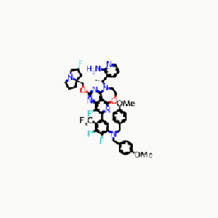 COc1ccc(CN(Cc2ccc(OC)cc2)c2cc(-c3nc4c5c(nc(OC[C@@]67CCCN6C[C@H](F)C7)nc5c3F)N([C@H](C)c3cccnc3N)CCO4)c(C(F)(F)F)c(F)c2F)cc1